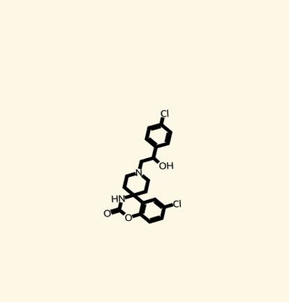 O=C1NC2(CCN(CC(O)c3ccc(Cl)cc3)CC2)c2cc(Cl)ccc2O1